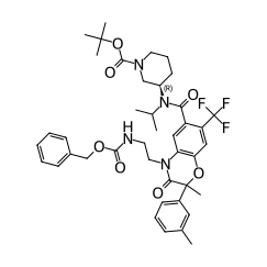 Cc1cccc(C2(C)Oc3cc(C(F)(F)F)c(C(=O)N(C(C)C)[C@@H]4CCCN(C(=O)OC(C)(C)C)C4)cc3N(CCNC(=O)OCc3ccccc3)C2=O)c1